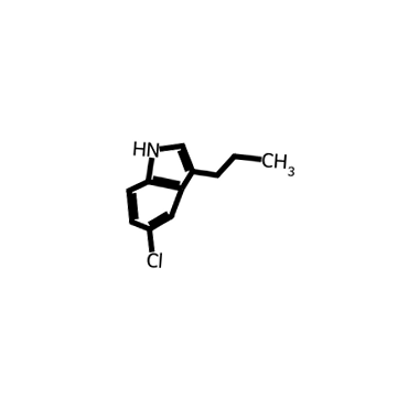 CCCc1c[nH]c2ccc(Cl)cc12